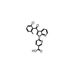 Cc1cccc(Cl)c1C(=O)c1cn(-c2ccc(C(=O)O)cn2)c2ncccc12